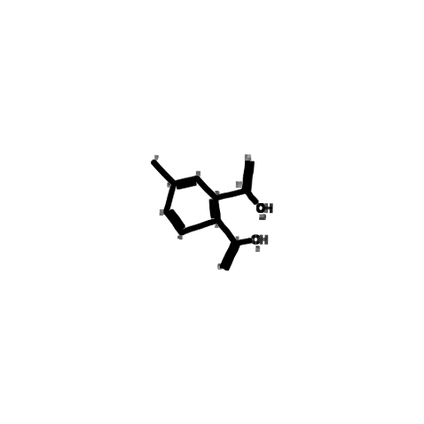 C=C(O)c1ccc(C)cc1C(=C)O